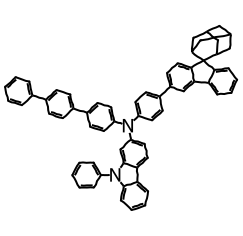 c1ccc(-c2ccc(-c3ccc(N(c4ccc(-c5ccc6c(c5)-c5ccccc5C65C6CC7CC(C6)CC5C7)cc4)c4ccc5c6ccccc6n(-c6ccccc6)c5c4)cc3)cc2)cc1